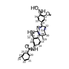 COc1cc(C2=N/C(N[C@@H](C)c3cccc(NC(=O)c4cccc(C)c4)c3)=C\C(C)C\C=C\2)ccc1NO